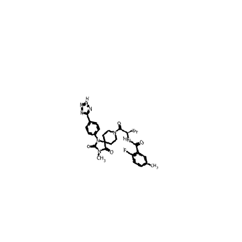 Cc1ccc(F)c(C(=O)N[C@@H](C(=O)N2CCC3(CC2)C(=O)N(C)C(=O)N3c2ccc(-c3nn[nH]n3)cc2)C(C)C)c1